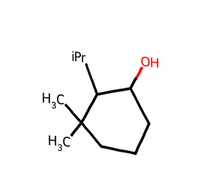 CC(C)C1C(O)CCCC1(C)C